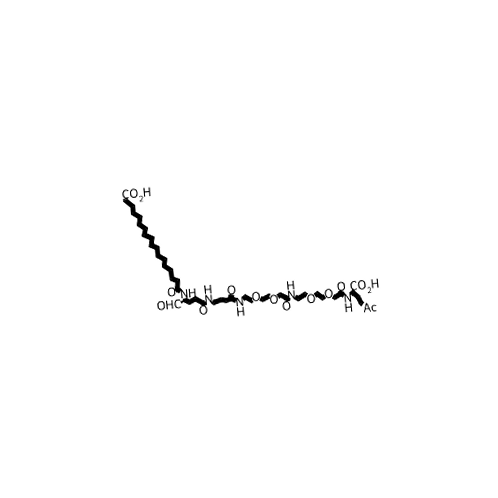 CC(=O)CC[C@H](NC(=O)COCCOCCNC(=O)COCCOCCNC(=O)CCCNC(=O)CC[C@@H](C=O)NC(=O)CCCCCCCCCCCCCCCCC(=O)O)C(=O)O